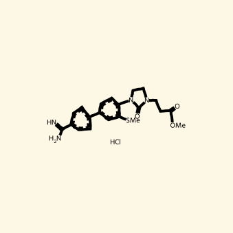 COC(=O)CCN1CCN(c2ccc(-c3ccc(C(=N)N)cc3)cc2SC)C1=O.Cl